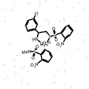 CN(CC(NC(=O)O)c1cccc(Cl)c1)S(=O)(=O)c1ccccc1[N+](=O)[O-].CNS(=O)(=O)c1ccccc1[N+](=O)[O-]